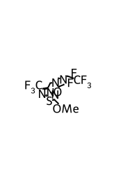 COCc1nn2c(CN3CN(CC(F)(F)C(F)(F)F)CC3=O)c(C(F)(F)F)nc2s1